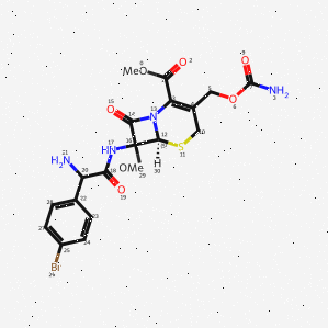 COC(=O)C1=C(COC(N)=O)CS[C@@H]2N1C(=O)C2(NC(=O)C(N)c1ccc(Br)cc1)OC